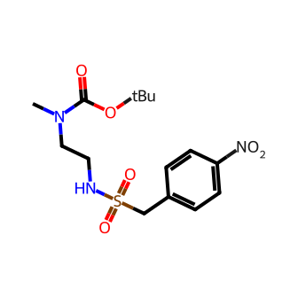 CN(CCNS(=O)(=O)Cc1ccc([N+](=O)[O-])cc1)C(=O)OC(C)(C)C